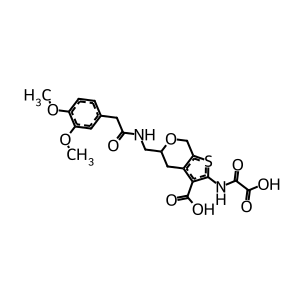 COc1ccc(CC(=O)NCC2Cc3c(sc(NC(=O)C(=O)O)c3C(=O)O)CO2)cc1OC